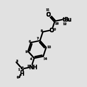 C[SH](C)Nc1ccc(COC(=O)C(C)(C)C)cc1